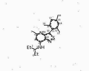 CCC(CC)Nc1cc(C)nc2c(-c3c(C)cc(C)cc3C)snc12